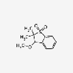 COC1c2ccccc2S(=O)(=O)C1(C)C